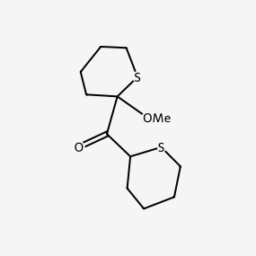 COC1(C(=O)C2CCCCS2)CCCCS1